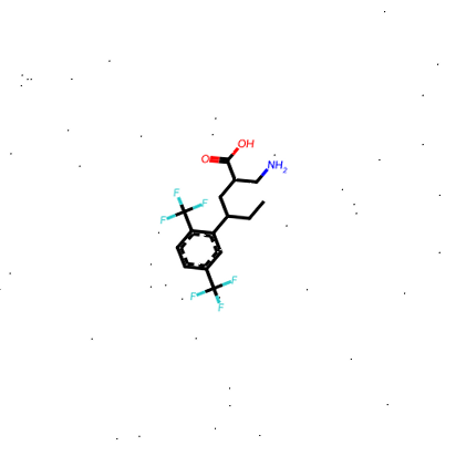 CCC(CC(CN)C(=O)O)c1cc(C(F)(F)F)ccc1C(F)(F)F